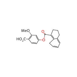 COc1cc(OC(=O)C2=C3CC=CC=C3CCC2)ccc1C(=O)O